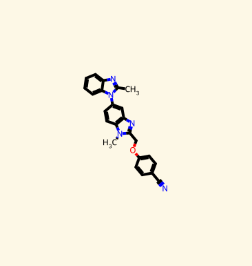 Cc1nc2ccccc2n1-c1ccc2c(c1)nc(COc1ccc(C#N)cc1)n2C